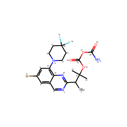 CC(C)(C)C(c1ncc2cc(Br)cc(N3CCC(F)(F)CC3)c2n1)C(C)(C)OC(=O)OC(N)=O